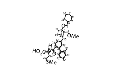 COCC1C(OCC2CCCCC2)CCN1Cc1ccc(C(=O)N[C@@H](CCSC)C(=O)O)c(-c2ccccc2C)c1